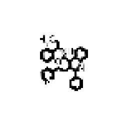 CCC(NC(=O)c1c(CCc2cccnc2)c(-c2ccccc2)nc2ccccc12)c1ccccc1